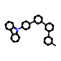 Cc1cccc(-c2cccc(-c3cccc(-c4ccc(-n5c6ccccc6c6ccccc65)cc4)c3)c2)c1